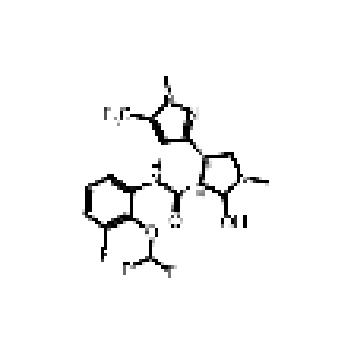 CN1C[C@H](c2cc(C(F)(F)F)n(C)n2)[C@@H](C(=O)Nc2cccc(F)c2OC(F)F)C1O